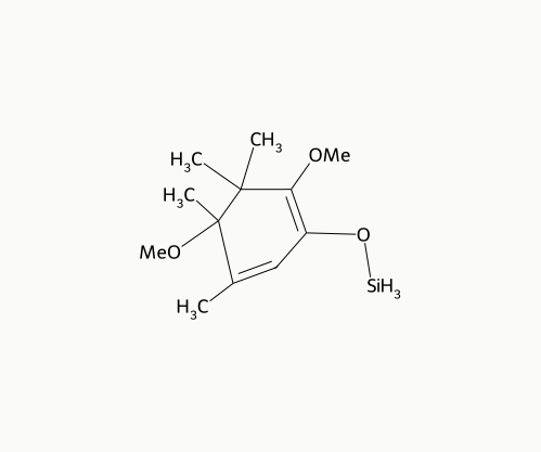 COC1=C(O[SiH3])C=C(C)C(C)(OC)C1(C)C